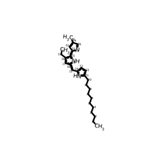 CCCCCCCCCCCc1ccc(C=c2cc(CC)c(=C3C=C(C)C=N3)[nH]2)[nH]1